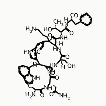 C[C@@H](O)[C@H](NC(=O)[C@H]1NC(=O)[C@H](CO)NC(=O)[C@H]2NC(=O)[C@H](CC(N)=O)NC(=O)[C@@H](N)Cc3c[nH]c4c(cccc34)O[C@@H]2c2c[nH]c3cc(ccc23)[C@@H]1CCCN)C(=O)N[C@@H](Cc1ccccc1)C(=O)O